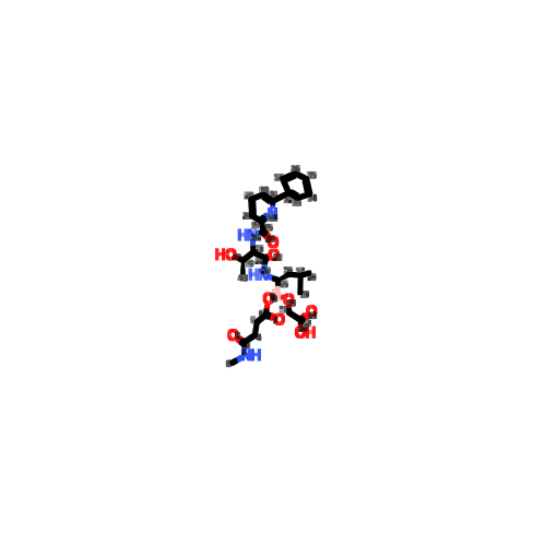 CNC(=O)CCC(=O)OB(OCC(=O)O)[C@H](CC(C)C)NC(=O)C(NC(=O)c1cccc(-c2ccccc2)n1)[C@@H](C)O